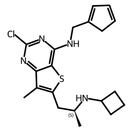 Cc1c(C[C@H](C)NC2CCC2)sc2c(NCC3=CC=CC3)nc(Cl)nc12